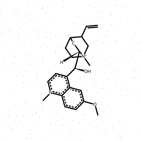 C=CC1C[N+]2(C)CCC1C[C@H]2[C@@H](O)c1cc[n+](C)c2ccc(OC)cc12